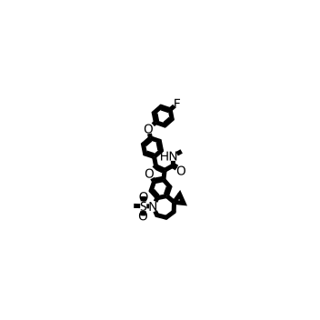 CNC(=O)c1c(-c2ccc(Oc3ccc(F)cc3)cc2)oc2cc3c(cc12)C1(CCCN3S(C)(=O)=O)CC1